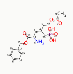 CC(=O)OCCC(=CC(N)C(=O)OCc1ccccc1)CP(=O)(O)O